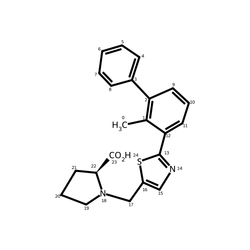 Cc1c(-c2ccccc2)cccc1-c1ncc(CN2CCC[C@H]2C(=O)O)s1